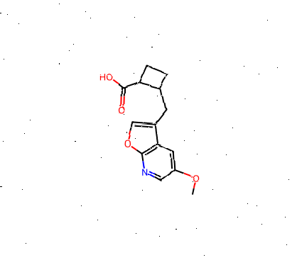 COc1cnc2occ(CC3CCC3C(=O)O)c2c1